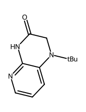 CC(C)(C)N1CC(=O)Nc2ncccc21